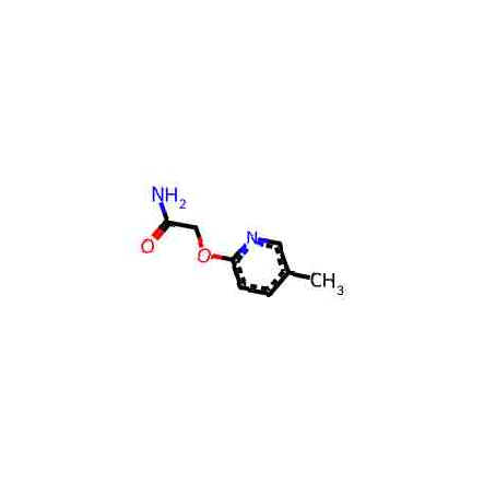 Cc1ccc(OCC(N)=O)nc1